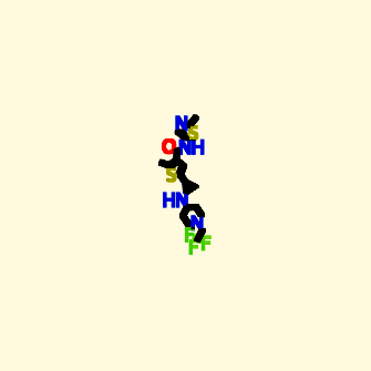 Cc1ncc(NC(=O)c2cc(C3CC3NC3CCN(CC(F)(F)F)CC3)sc2C)s1